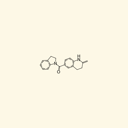 C=C1CCc2cc(C(=O)N3CCc4ccccc43)ccc2N1